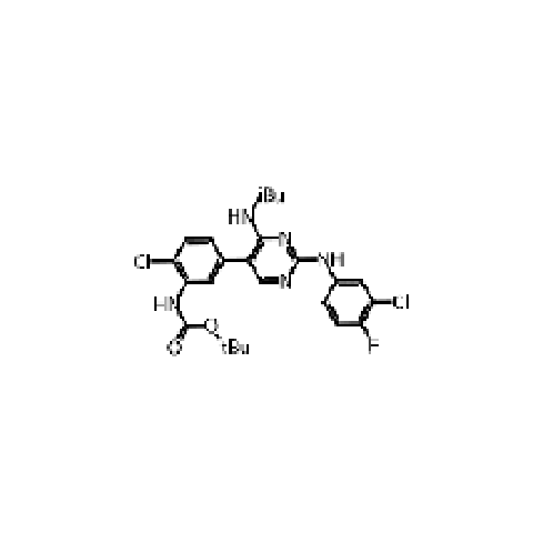 CCC(C)Nc1nc(Nc2ccc(F)c(Cl)c2)ncc1-c1ccc(Cl)c(NC(=O)OC(C)(C)C)c1